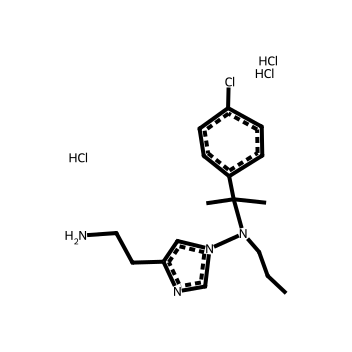 CCCN(n1cnc(CCN)c1)C(C)(C)c1ccc(Cl)cc1.Cl.Cl.Cl